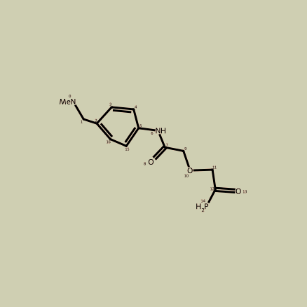 CNCc1ccc(NC(=O)COCC(=O)P)cc1